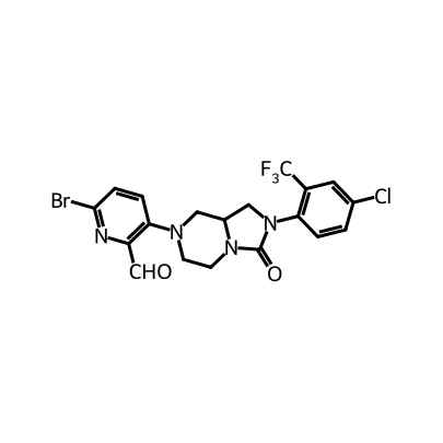 O=Cc1nc(Br)ccc1N1CCN2C(=O)N(c3ccc(Cl)cc3C(F)(F)F)CC2C1